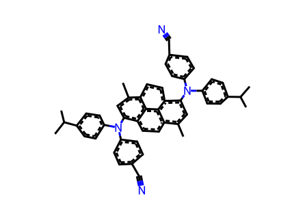 Cc1cc(N(c2ccc(C#N)cc2)c2ccc(C(C)C)cc2)c2ccc3c(C)cc(N(c4ccc(C#N)cc4)c4ccc(C(C)C)cc4)c4ccc1c2c34